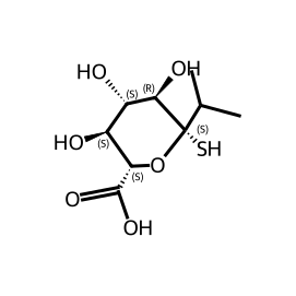 CC(C)[C@@]1(S)O[C@H](C(=O)O)[C@@H](O)[C@H](O)[C@H]1O